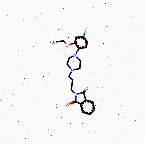 O=C1c2ccccc2C(=O)N1CCCN1CCN(c2ccc(F)cc2OCC(F)(F)F)CC1